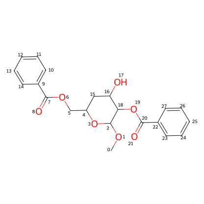 COC1OC(COC(=O)c2ccccc2)CC(O)C1OC(=O)c1ccccc1